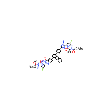 COC(=O)N[C@H](C(=O)N1C[C@@H](F)C[C@H]1c1nc(-c2ccc(-c3ccc(-c4ccc5nc([C@@H]6C[C@H](F)CN6C(=O)[C@@H](NC(=O)OC)C(C)C)[nH]c(=O)c5c4)c4c3CC3(CCCCC3)C4)cc2)c[nH]1)C(C)C